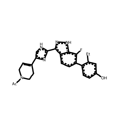 CCc1cc(O)ccc1-c1ccc2c(-c3nc(C4=CCN(C(C)=O)CC4)c[nH]3)n[nH]c2c1F